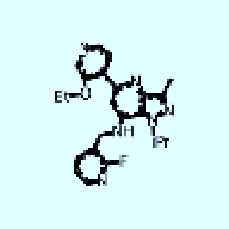 CCOc1cnccc1-c1cc(NCc2cccnc2F)c2c(n1)c(C)nn2C(C)C